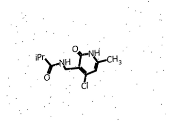 Cc1cc(Cl)c(CNC(=O)C(C)C)c(=O)[nH]1